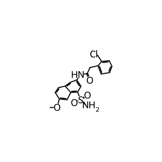 COc1ccc2cc(NC(=O)Cc3ccccc3Cl)cc(S(N)(=O)=O)c2c1